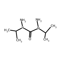 CC(C)N(N)C(=O)N(N)C(C)C